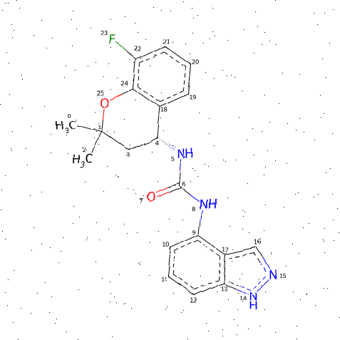 CC1(C)C[C@@H](NC(=O)Nc2cccc3[nH]ncc23)c2cccc(F)c2O1